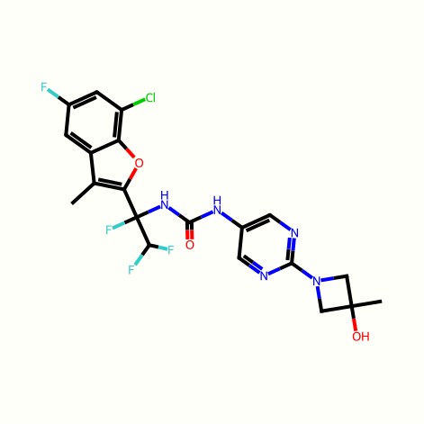 Cc1c(C(F)(NC(=O)Nc2cnc(N3CC(C)(O)C3)nc2)C(F)F)oc2c(Cl)cc(F)cc12